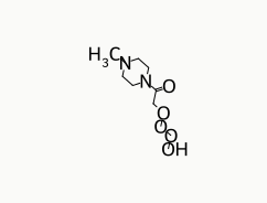 CN1CCN(C(=O)COOOO)CC1